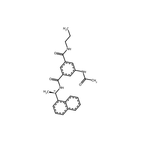 CCCNC(=O)c1cc(NC(C)=O)cc(C(=O)N[C@H](C)c2cccc3ccccc23)c1